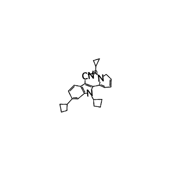 C[C@@H](C1CC1)N1CC=CC=C1c1c(C#N)c2ccc(C3CCC3)cc2n1C1CCC1